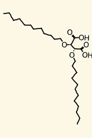 CCCCCCCCCCCCO[C@@H](C(=O)O)[C@@H](OCCCCCCCCCCCC)C(=O)O